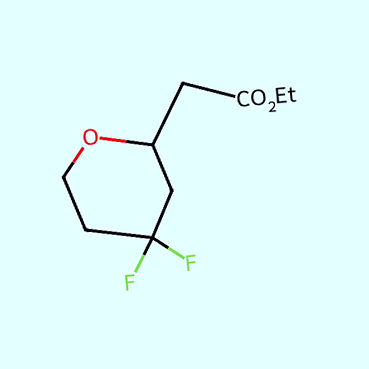 CCOC(=O)CC1CC(F)(F)CCO1